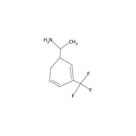 CC(N)C1C=C(C(F)(F)F)C=CC1